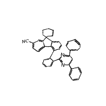 N#Cc1ccc2c(c1)C1(CCCCC1)c1cccc(-c3ccccc3-c3nc(-c4ccccc4)cc(-c4ccccc4)n3)c1-2